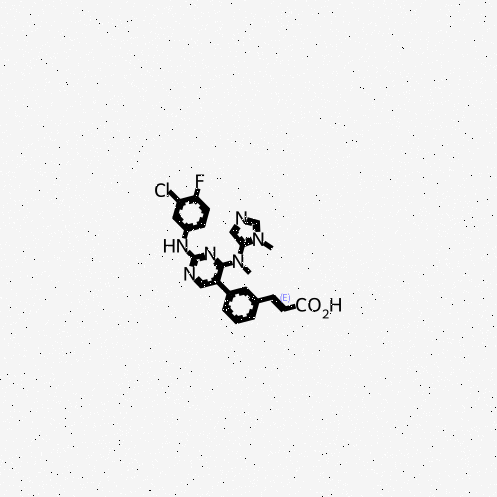 CN(c1nc(Nc2ccc(F)c(Cl)c2)ncc1-c1cccc(/C=C/C(=O)O)c1)c1cncn1C